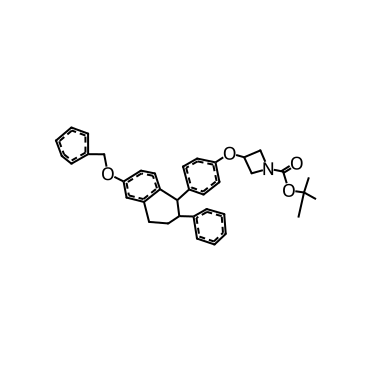 CC(C)(C)OC(=O)N1CC(Oc2ccc(C3c4ccc(OCc5ccccc5)cc4CCC3c3ccccc3)cc2)C1